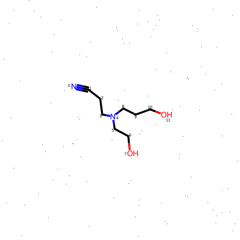 N#CCCN(CCO)CCCO